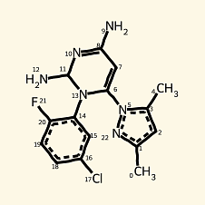 Cc1cc(C)n(C2=CC(N)=NC(N)N2c2cc(Cl)ccc2F)n1